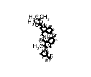 Cc1c(N2CCCC(C(F)(F)F)C2)nc2ccc(Br)cc2c1C(=O)NCC(CCC(=O)OC(C)(C)C)c1ccccc1Cl